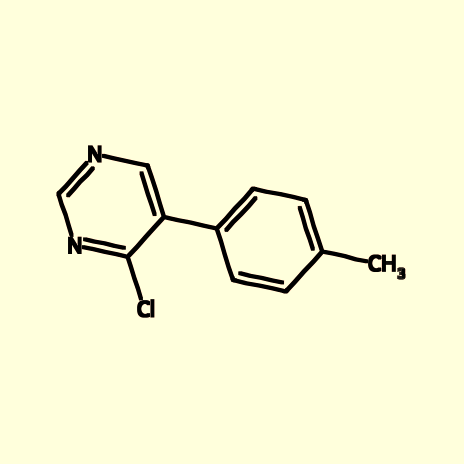 Cc1ccc(-c2cncnc2Cl)cc1